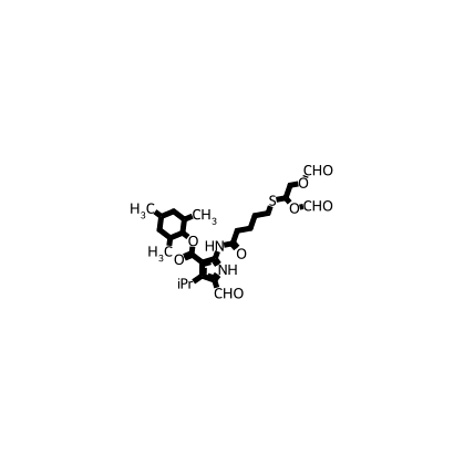 CC1CC(C)C(OC(=O)c2c(NC(=O)CCCCSC(COC=O)OC=O)[nH]c(C=O)c2C(C)C)C(C)C1